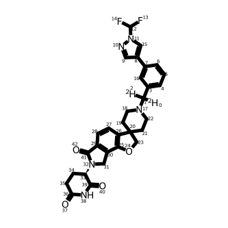 [2H]C([2H])(c1cccc(-c2cnn(C(F)F)c2)c1)N1CCC2(CC1)COc1c2ccc2c1CN([C@H]1CCC(=O)NC1=O)C2=O